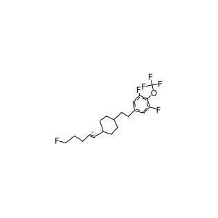 FCCC/C=C/C1CCC(CCc2cc(F)c(OC(F)(F)F)c(F)c2)CC1